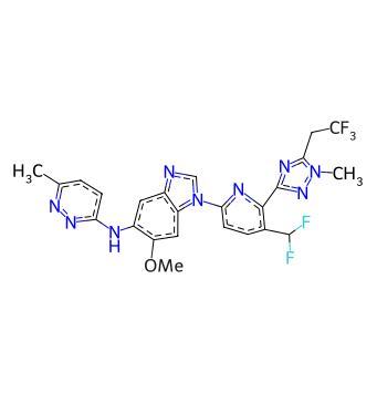 COc1cc2c(cc1Nc1ccc(C)nn1)ncn2-c1ccc(C(F)F)c(-c2nc(CC(F)(F)F)n(C)n2)n1